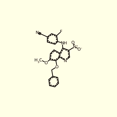 COc1ccc2c(Nc3ccc(C#N)cc3F)c([N+](=O)[O-])cnc2c1OCc1ccccc1